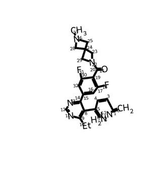 C=C(N)/C=C\C(=C/N)c1c(CC)ncnc1-c1cc(F)c(C(=O)N2CC3(CN(C)C3)C2)c(F)c1